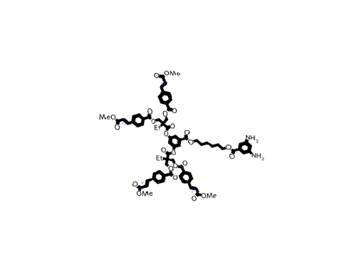 CCC(COC(=O)c1ccc(/C=C/C(=O)OC)cc1)(COC(=O)c1ccc(/C=C/C(=O)OC)cc1)C(=O)Oc1cc(OC(=O)C(CC)(COC(=O)c2ccc(/C=C/C(=O)OC)cc2)COC(=O)c2ccc(/C=C/C(=O)OC)cc2)cc(C(=O)OCCCCCCOC(=O)c2cc(N)cc(N)c2)c1